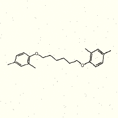 Cc1ccc(OCCCCCCOc2ccc(C)cc2C)c(C)c1